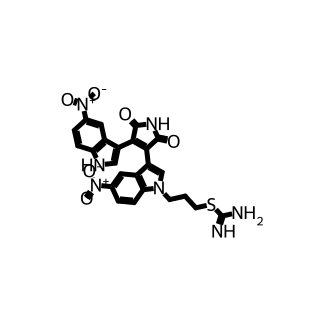 N=C(N)SCCCn1cc(C2=C(c3c[nH]c4ccc([N+](=O)[O-])cc34)C(=O)NC2=O)c2cc([N+](=O)[O-])ccc21